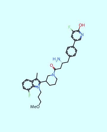 COCCCn1c(C2CCCN(C(=O)C[C@H](N)Cc3ccc(-c4cnc(O)c(F)c4)cc3)C2)c(C)c2cccc(F)c21